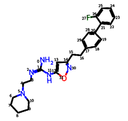 NC(=NCCN1CCCCC1)Nc1cc(CCc2ccc(-c3ccccc3F)cc2)no1